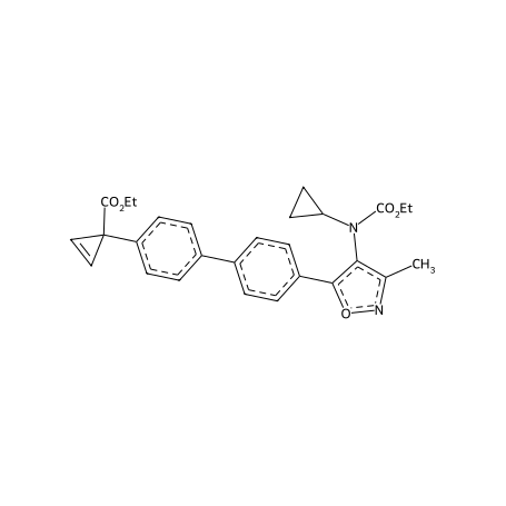 CCOC(=O)N(c1c(C)noc1-c1ccc(-c2ccc(C3(C(=O)OCC)C=C3)cc2)cc1)C1CC1